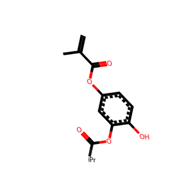 C=C(C)C(=O)Oc1ccc(O)c(OC(=O)C(C)C)c1